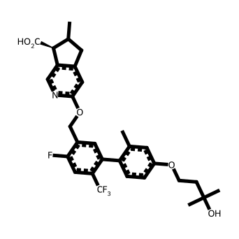 Cc1cc(OCCC(C)(C)O)ccc1-c1cc(COc2cc3c(cn2)[C@@H](C(=O)O)C(C)C3)c(F)cc1C(F)(F)F